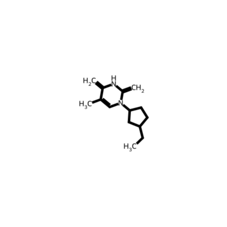 C=C1NC(=C)N(C2CCC(CC)C2)C=C1C